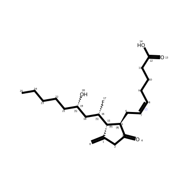 C=C1CC(=O)[C@H](C/C=C\CCCC(=O)O)[C@H]1[C@@H](F)C[C@@H](O)CCCCC